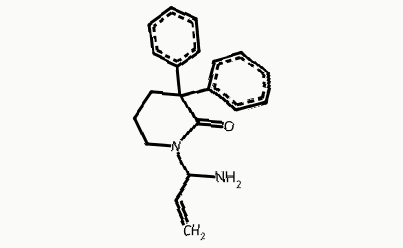 C=CC(N)N1CCCC(c2ccccc2)(c2ccccc2)C1=O